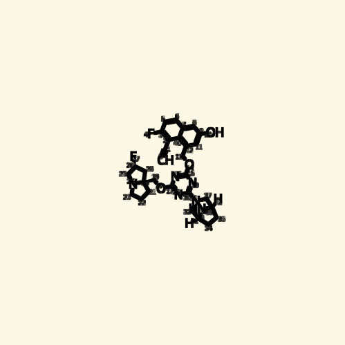 C#Cc1c(F)ccc2cc(O)cc(COc3nc(OC[C@@]45CCCN4C[C@H](F)C5)nc(N4C[C@H]5CC[C@@H](C4)N5)n3)c12